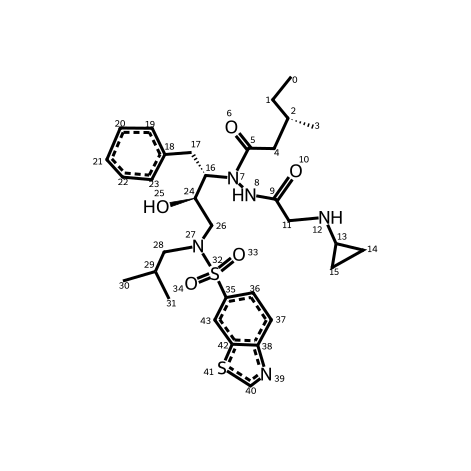 CC[C@H](C)CC(=O)N(NC(=O)CNC1CC1)[C@@H](Cc1ccccc1)[C@H](O)CN(CC(C)C)S(=O)(=O)c1ccc2ncsc2c1